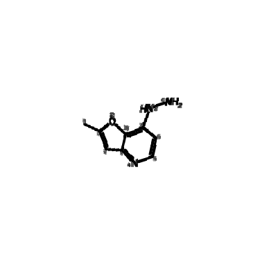 Cc1cc2nccc(NN)c2o1